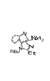 CCCCn1c(CC)nc2c(N)nc3ccccc3c21